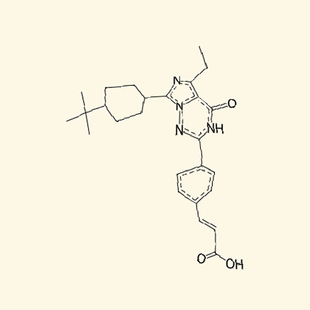 CCc1nc(C2CCC(C(C)(C)C)CC2)n2nc(-c3ccc(/C=C/C(=O)O)cc3)[nH]c(=O)c12